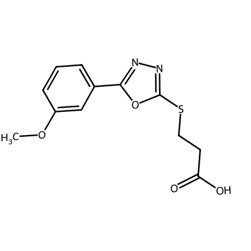 COc1cccc(-c2nnc(SCCC(=O)O)o2)c1